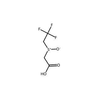 O=C(O)C[S+]([O-])CC(F)(F)F